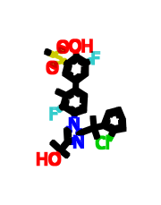 Cc1c(-c2cc(F)c(O)c(S(C)(=O)=O)c2)ccc(-n2cc(C(C)(C)O)nc2C(C)(C)c2ccccc2Cl)c1F